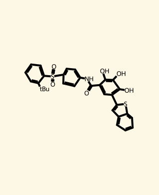 CC(C)(C)c1ccccc1S(=O)(=O)c1ccc(NC(=O)c2cc(-c3cc4ccccc4s3)c(O)c(O)c2O)cc1